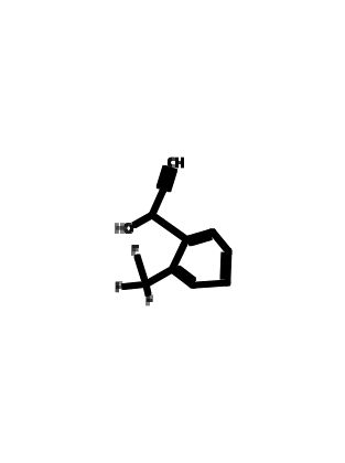 C#CC(O)c1ccccc1C(F)(F)F